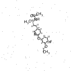 CCOc1cc(Oc2ccc(/C=C/[C@H](C)NC(C)=O)cn2)ccc1F